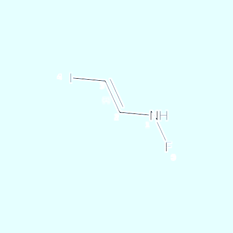 FN/C=C/I